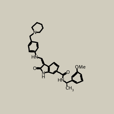 COc1cccc([C@@H](C)NC(=O)c2ccc3c(c2)NC(=O)/C3=C\Nc2ccc(CN3CCCCC3)cc2)c1